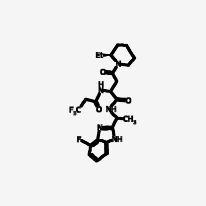 CC[C@H]1CCCCN1C(=O)CC(NC(=O)CC(F)(F)F)C(=O)NC(C)c1nc2c(F)cccc2[nH]1